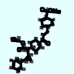 COC(=O)c1ccc(CCC(=O)N2CCC(N(C(=O)OC(C)(C)C)C3CC3c3ccccc3)CC2)cc1